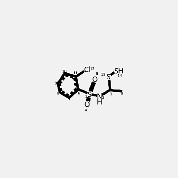 CC(NS(=O)(=O)c1ccccc1Cl)SS